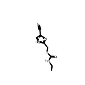 CCNC(=O)OCc1nc(C#N)c[nH]1